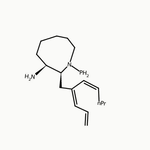 C=C/C=C(\C=C/CCC)C[C@H]1[C@@H](N)CCCCCN1P